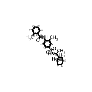 Cc1cc(S(=O)(=O)N[C@H](C)C2CC3CC[C@H]2N3)ccc1NC(=O)c1ccccc1C